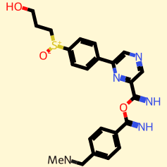 CNCc1ccc(C(=N)OC(=N)c2cncc(-c3ccc([S+]([O-])CCCO)cc3)n2)cc1